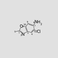 Cc1nc2cc(Cl)c(N)cc2o1